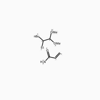 C=CC(N)=O.CCCCC(CC)C(OC)OC